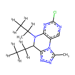 [2H]C([2H])([2H])C([2H])([2H])C1c2nnc(C)n2-c2cnc(Cl)nc2N1C([2H])(C)C([2H])([2H])[2H]